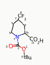 CC(C)(C)OC(=O)N1CCC(C(F)(F)F)CC1C(=O)O